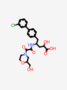 O=C(NC(Cc1ccc(-c2cccc(Cl)c2)cc1)CC(O)C(=O)O)C(=O)N1CCOC(CO)C1